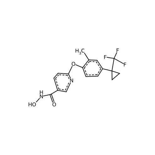 Cc1cc(C2(C(F)(F)F)CC2)ccc1Oc1ccc(C(=O)NO)cn1